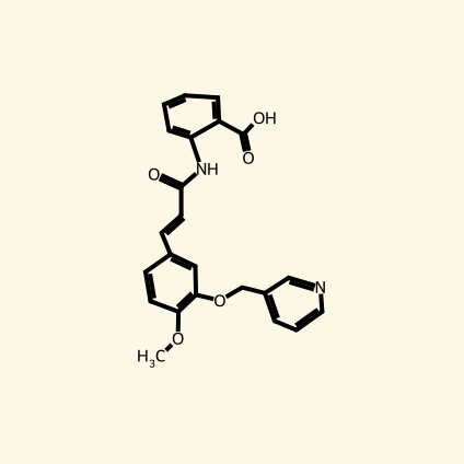 COc1ccc(C=CC(=O)Nc2ccccc2C(=O)O)cc1OCc1cccnc1